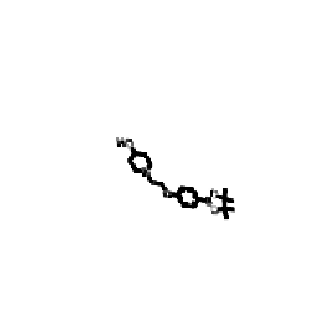 CC1(C)OB(c2ccc(OCCN3CCC(O)CC3)cc2)OC1(C)C